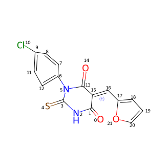 O=C1NC(=S)N(c2ccc(Cl)cc2)C(=O)/C1=C/c1ccco1